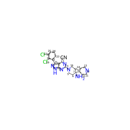 N#Cc1nc(N2CCC(N)(c3ccncc3)CC2)nc2[nH]nc(-c3cccc(Cl)c3Cl)c12